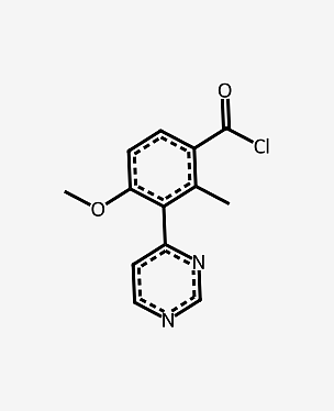 COc1ccc(C(=O)Cl)c(C)c1-c1ccncn1